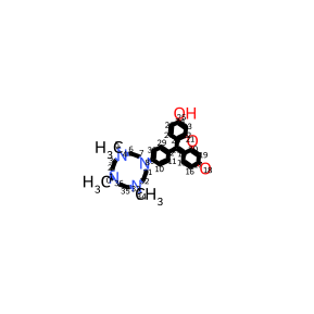 CN1CCN(C)CCN(c2ccc(-c3c4ccc(=O)cc-4oc4cc(O)ccc34)cc2)CCN(C)CC1